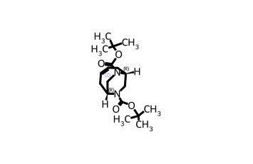 CC(C)(C)OC(=O)N1C[C@H]2C/C=C\C[C@@H]1CN2C(=O)OC(C)(C)C